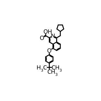 CC(C)(C)c1ccc(Oc2cccc3c(CC4CCCC4)nc(C(=O)O)cc23)cc1